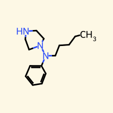 CCCCCN(c1ccccc1)N1CCNCC1